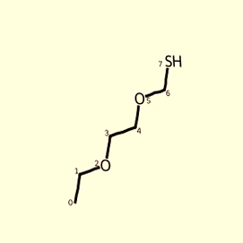 CCOCCOCS